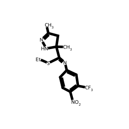 CCS/C(=N\c1ccc([N+](=O)[O-])c(C(F)(F)F)c1)C1(C)CC(C)=NN1